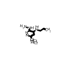 C=CCNc1cc(Cl)nnc1NN.Cl.Cl